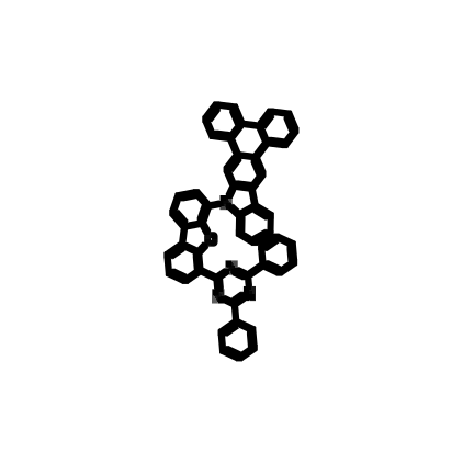 c1ccc(-c2nc(-c3ccccc3)nc(-c3cccc4c3oc3c(-n5c6ccccc6c6cc7c8ccccc8c8ccccc8c7cc65)cccc34)n2)cc1